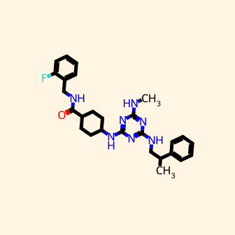 CNc1nc(NCC(C)c2ccccc2)nc(NC2CCC(C(=O)NCc3ccccc3F)CC2)n1